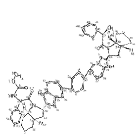 COC(=O)NN(C(=O)N1[C@@H]2CCCC[C@@H]2C[C@H]1c1nc2cc(-c3ccc(-c4ccc5[nH]c([C@@H]6C[C@H]7CCCC[C@H]7N6C(=O)[C@H](C)c6ccccc6)nc5c4)cc3)ccc2[nH]1)c1ccccc1